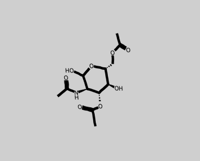 CC(=O)N[C@H]1C(O)O[C@H](COC(C)=O)[C@@H](O)[C@@H]1OC(C)=O